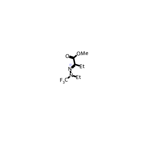 CC/C(=N\N(CC)C(F)(F)F)C(=O)OC